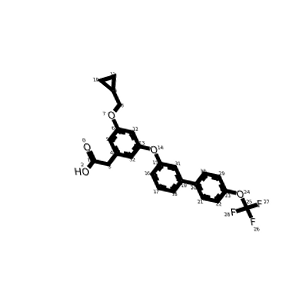 O=C(O)Cc1cc(OCC2CC2)cc(Oc2cccc(-c3ccc(OC(F)(F)F)cc3)c2)c1